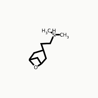 C[SiH](C)CCC1CC2CC(C1)O2